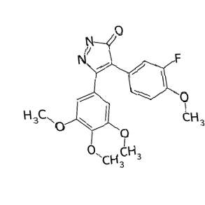 COc1ccc(C2=C(c3cc(OC)c(OC)c(OC)c3)N=NC2=O)cc1F